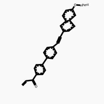 C=CC(=O)c1ccc(-c2ccc(C#Cc3ccc4cc(OCCCCC)ccc4c3)cc2)cc1